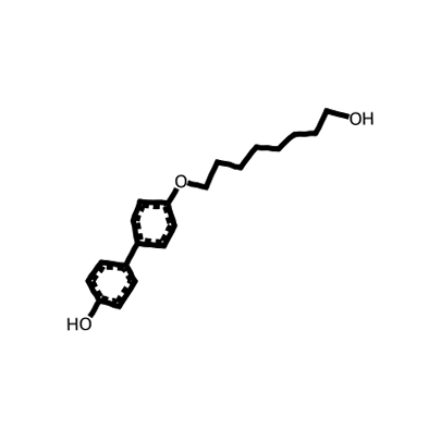 OCCCCCCCCOc1ccc(-c2ccc(O)cc2)cc1